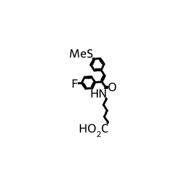 CSc1ccc(C=C(C(=O)NCCCCCC(=O)O)c2ccc(F)cc2)cc1